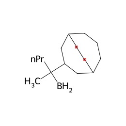 BC(C)(CCC)C1CC2CCCCC(CCC2)C1